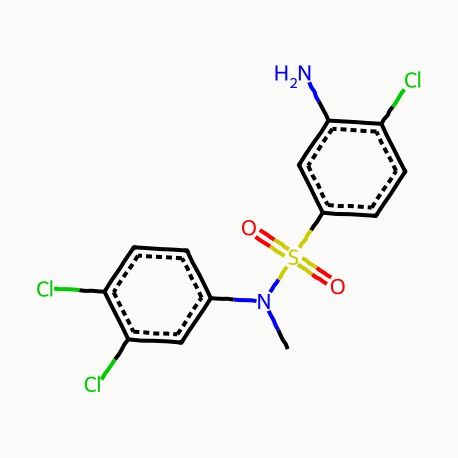 CN(c1ccc(Cl)c(Cl)c1)S(=O)(=O)c1ccc(Cl)c(N)c1